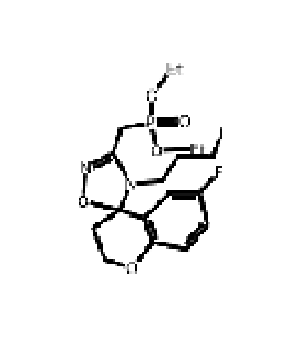 CCOP(=O)(CC1=NOC2(CCOc3ccc(F)cc32)N1CCCI)OCC